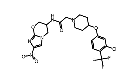 O=C(CN1CCC(Oc2ccc(C(F)(F)F)c(Cl)c2)CC1)NC1COc2nc([N+](=O)[O-])cn2C1